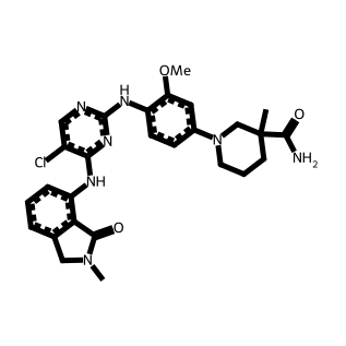 COc1cc(N2CCCC(C)(C(N)=O)C2)ccc1Nc1ncc(Cl)c(Nc2cccc3c2C(=O)N(C)C3)n1